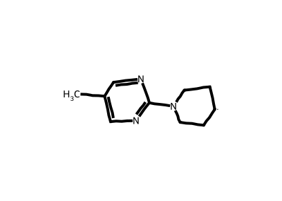 Cc1cnc(N2CC[CH]CC2)nc1